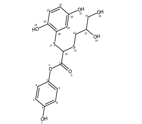 O=C(Oc1ccc(O)cc1)C(SCC(O)CO)Sc1cc(O)ccc1O